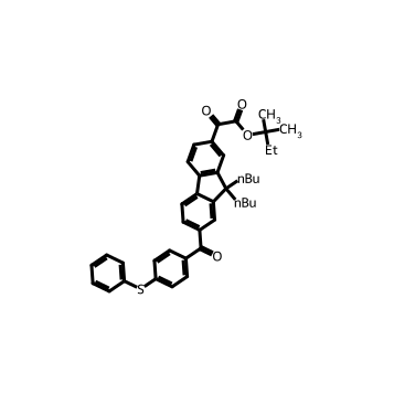 CCCCC1(CCCC)c2cc(C(=O)C(=O)OC(C)(C)CC)ccc2-c2ccc(C(=O)c3ccc(Sc4ccccc4)cc3)cc21